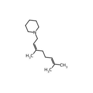 CC(C)=CCCC(C)=CCN1CCCCC1